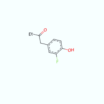 CCC(=O)Cc1ccc(O)c(F)c1